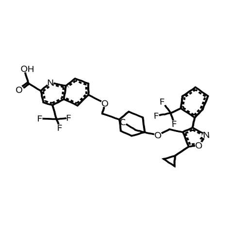 O=C(O)c1cc(C(F)(F)F)c2cc(OCC34CCC(OCc5c(-c6ccccc6C(F)(F)F)noc5C5CC5)(CC3)CC4)ccc2n1